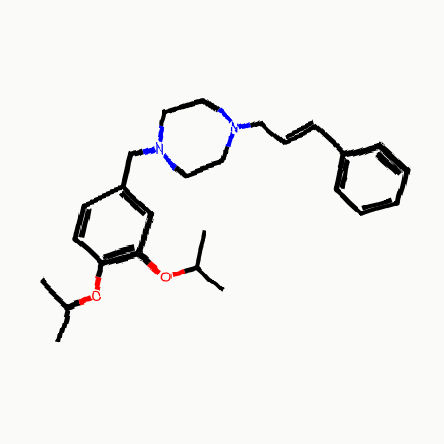 CC(C)Oc1ccc(CN2CCN(C/C=C/c3ccccc3)CC2)cc1OC(C)C